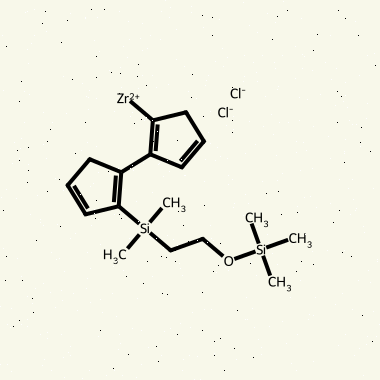 C[Si](C)(C)OCC[Si](C)(C)C1=C(C2=[C]([Zr+2])CC=C2)CC=C1.[Cl-].[Cl-]